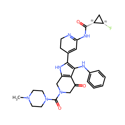 CN1CCN(C(=O)N2CC(=O)c3c([nH]c(C4=CC(NC(=O)[C@@H]5C[C@@H]5F)=NCC4)c3NC3=C=C=CC=C3)C2)CC1